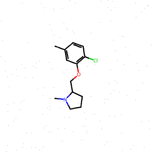 Cc1ccc(Cl)c(OCC2CCCN2C)c1